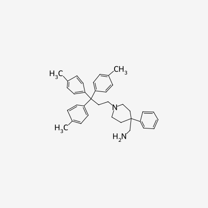 Cc1ccc(C(CCN2CCC(CN)(c3ccccc3)CC2)(c2ccc(C)cc2)c2ccc(C)cc2)cc1